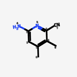 Cc1cc(N)nc(C#N)c1C